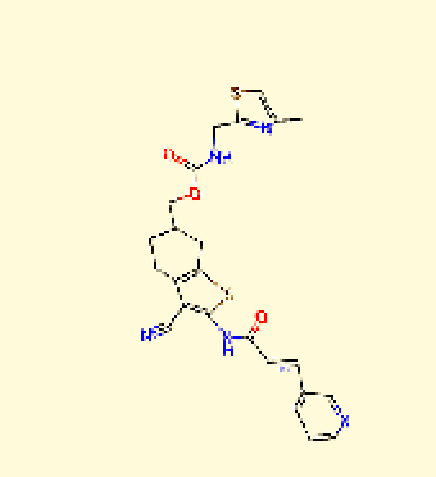 Cc1csc(CNC(=O)OCC2CCc3c(sc(NC(=O)/C=C/c4cccnc4)c3C#N)C2)n1